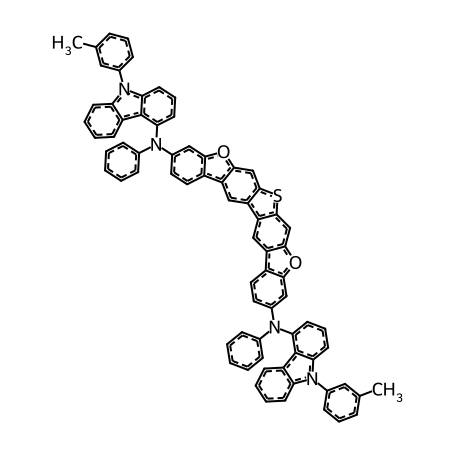 Cc1cccc(-n2c3ccccc3c3c(N(c4ccccc4)c4ccc5c(c4)oc4cc6sc7cc8oc9cc(N(c%10ccccc%10)c%10cccc%11c%10c%10ccccc%10n%11-c%10cccc(C)c%10)ccc9c8cc7c6cc45)cccc32)c1